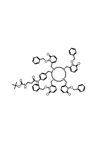 CC(C)(C)OC(=O)NCCC(=O)Nc1ccc(CC2CN(Cc3cccc(=O)n3OCc3ccccc3)CCN(Cc3cccc(=O)n3OCc3ccccc3)CCN(Cc3cccc(=O)n3OCc3ccccc3)CCN2Cc2cccc(=O)n2OCc2ccccc2)cc1